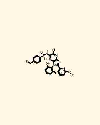 CCOC1=NC(c2nc3nc(Cl)c(NS(=O)(=O)c4ccc(CF)cc4)nc3n2-c2c(O)cccc2OC)=C=C=C1